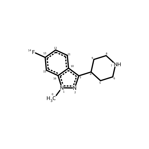 Cn1nc(C2CCNCC2)c2ccc(F)cc21